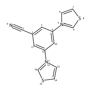 N#Cc1cc(-[n+]2ccsc2)cc(-[n+]2ccsc2)c1